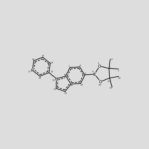 CC1(C)OB(c2ccc3c(ccn3-c3cccnc3)c2)OC1(C)C